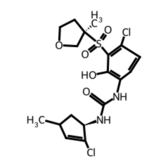 CC1C=C(Cl)[C@H](NC(=O)Nc2ccc(Cl)c(S(=O)(=O)[C@]3(C)CCOC3)c2O)C1